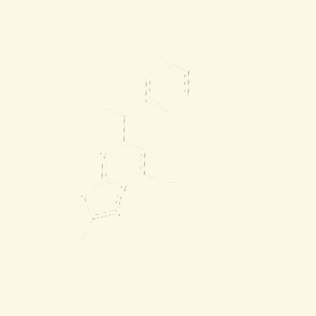 Cc1ccc(C(S)c2cc(O)n3nc(C)nc3n2)cc1